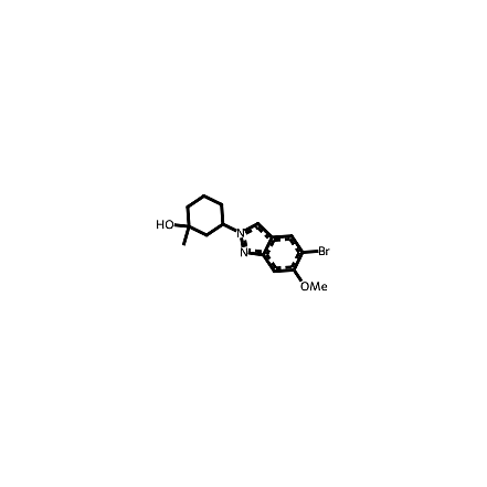 COc1cc2nn(C3CCCC(C)(O)C3)cc2cc1Br